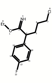 CCOC(=N)C(CCCCl)c1ccc(F)cc1